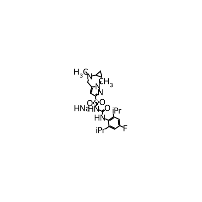 CC(C)c1cc(F)cc(C(C)C)c1NC(=O)NS(=O)(=O)c1cc(CN(C)C2CC2)n(C)n1.[NaH]